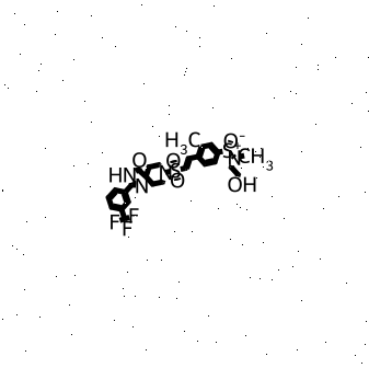 Cc1cc([S+]([O-])N(C)CCO)ccc1/C=C/S(=O)(=O)N1CCC2(CC1)N=C(c1cccc(C(F)(F)F)c1)NC2=O